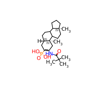 CC(C)(C)C(=O)NC1=C(P(=O)(O)O)C[C@@H]2CCC3C4CCC[C@@]4(C)CCC3[C@@]2(C)C1